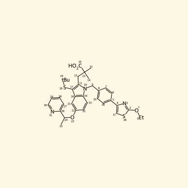 CCOc1nc(-c2ccc(Cn3c(CC(C)(C)C(=O)O)c(SC(C)(C)C)c4cc(OC(C)c5ccccn5)ccc43)cc2)cs1